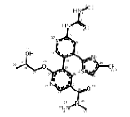 CCNC(=O)Nc1cc(-c2nc(C(F)(F)F)cs2)c(-c2cc(C(=O)N(C)N)cnc2OC[C@@H](C)O)cn1